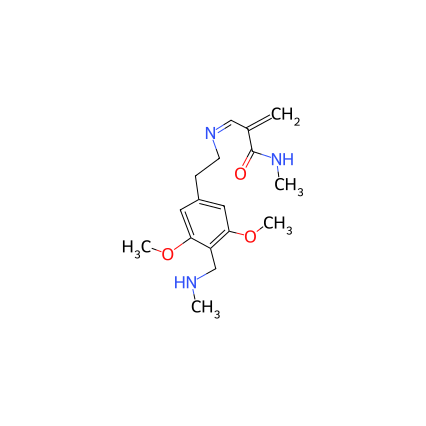 C=C(/C=N\CCc1cc(OC)c(CNC)c(OC)c1)C(=O)NC